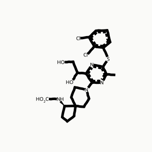 Cc1nc(N2CCC3(CCC[C@H]3NC(=O)O)CC2)c(C(O)CO)nc1Sc1cccc(Cl)c1Cl